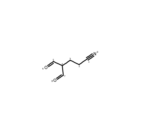 N#CCCC(C=O)C=O